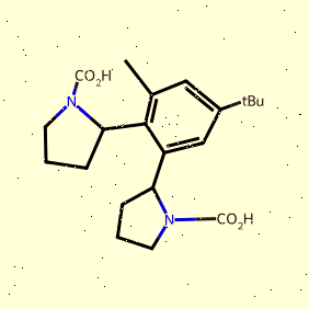 Cc1cc(C(C)(C)C)cc(C2CCCN2C(=O)O)c1C1CCCN1C(=O)O